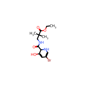 CCOC(=O)C(C)(C)CNC(=O)C1NC=C(Br)C=C1O